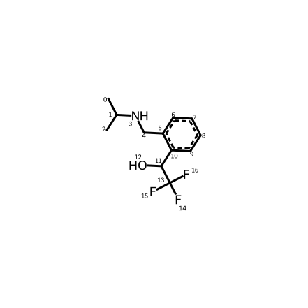 CC(C)NCc1ccccc1C(O)C(F)(F)F